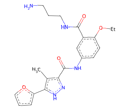 CCOc1ccc(NC(=O)c2n[nH]c(-c3ccco3)c2C)cc1C(=O)NCCCN